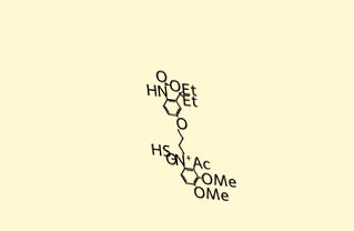 CCC1(CC)OC(=O)Nc2ccc(OCCCC=[N+](OS)c3ccc(OC)c(OC)c3C(C)=O)cc21